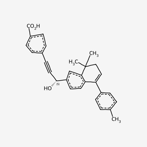 Cc1ccc(C2=CCC(C)(C)c3cc([C@H](O)C#Cc4ccc(C(=O)O)cc4)ccc32)cc1